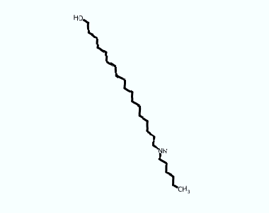 CCCCCCNCCCCCCCCCCCCCCCCCCO